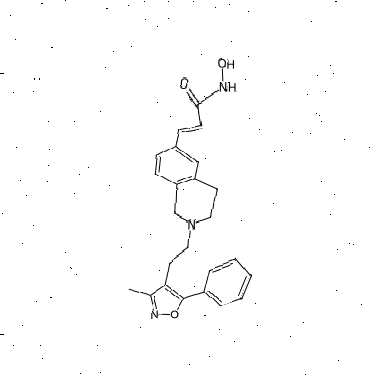 Cc1noc(-c2ccccc2)c1CCN1CCc2cc(C=CC(=O)NO)ccc2C1